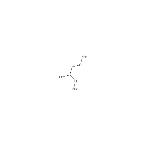 CCCOC[C](CC)OCCC